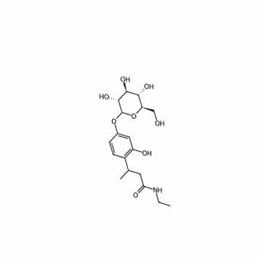 CCNC(=O)CC(C)c1ccc(OC2O[C@H](CO)[C@@H](O)[C@H](O)[C@H]2O)cc1O